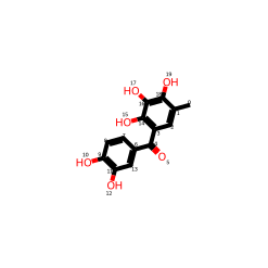 Cc1cc(C(=O)c2ccc(O)c(O)c2)c(O)c(O)c1O